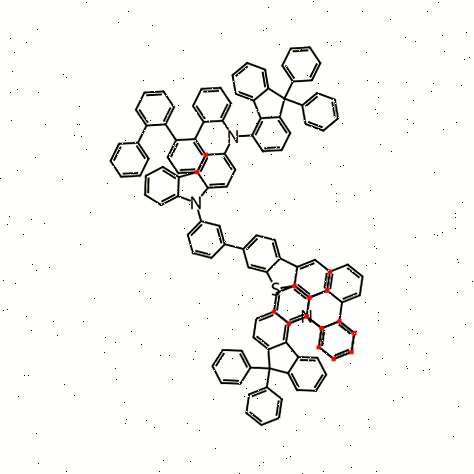 c1ccc(-c2ccccc2-c2ccccc2-c2ccccc2N(c2ccc3c(c2)c2ccccc2n3-c2cccc(-c3ccc4c(c3)sc3c(N(c5ccccc5-c5ccccc5-c5ccccc5-c5ccccc5)c5cccc6c5-c5ccccc5C6(c5ccccc5)c5ccccc5)cccc34)c2)c2cccc3c2-c2ccccc2C3(c2ccccc2)c2ccccc2)cc1